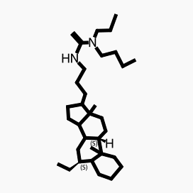 C=C(NCCCC1CCC2C3C[C@H](CC)C4CCCCC4(C)[C@H]3CCC12C)N(CCC)CCCC